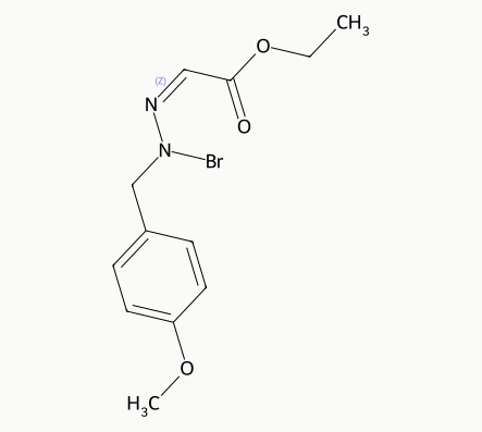 CCOC(=O)/C=N\N(Br)Cc1ccc(OC)cc1